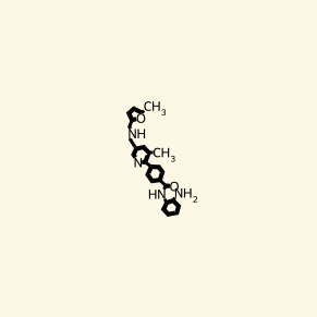 Cc1ccc(CNCc2cnc(-c3ccc(C(=O)Nc4ccccc4N)cc3)c(C)c2)o1